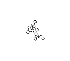 c1ccc(-c2cc(-c3ccccc3)nc(-c3cccc4c5ccccc5c5cc(-c6ccc7c(c6)c6ccccc6n7-c6ccc7ccccc7c6)ccc5c34)n2)cc1